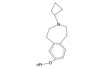 [CH2]CCOc1ccc2c(c1)CCN(C1CCC1)CC2